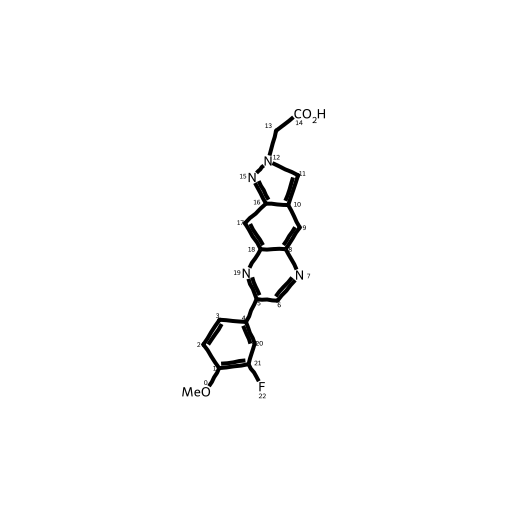 COc1ccc(-c2cnc3cc4cn(CC(=O)O)nc4cc3n2)cc1F